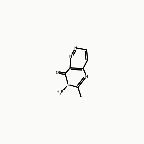 Bn1c(C)nc2ccnnc2c1=O